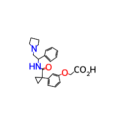 O=C(O)COc1cccc(C2(C(=O)NC(CN3CCCC3)c3ccccc3)CC2)c1